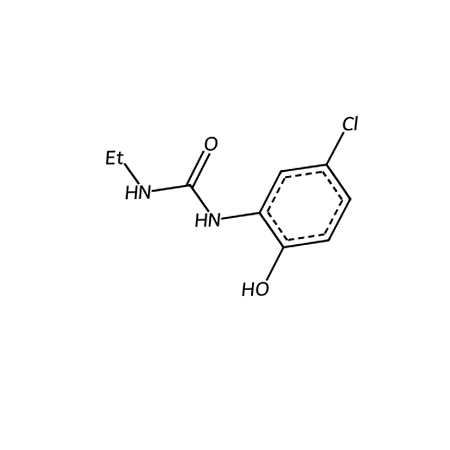 CCNC(=O)Nc1cc(Cl)ccc1O